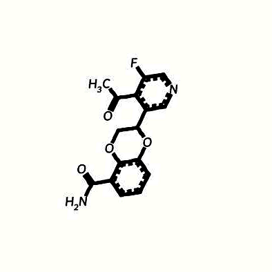 CC(=O)c1c(F)cncc1C1COc2c(cccc2C(N)=O)O1